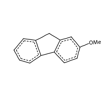 COc1ccc2c(c1)Cc1ccccc1-2